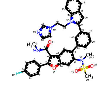 CNC(=O)c1c(-c2ccc(F)cc2)oc2cc(N(C)S(C)(=O)=O)c(-c3cccc(-c4cc5ccccc5n4CCn4ccnc4)c3)cc12